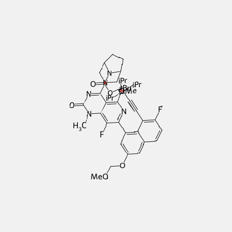 COCOc1cc(-c2nc(OC)c3c(N4CC5CCC(C4)N5C(=O)OC(C)(C)C)nc(=O)n(C)c3c2F)c2c(C#C[Si](C(C)C)(C(C)C)C(C)C)c(F)ccc2c1